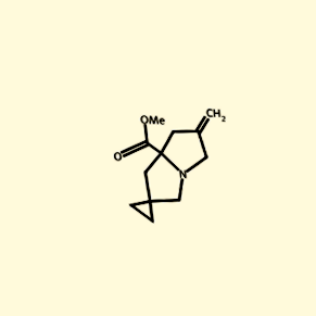 C=C1CN2CC3(CC3)CC2(C(=O)OC)C1